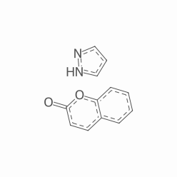 O=c1ccc2ccccc2o1.c1cn[nH]c1